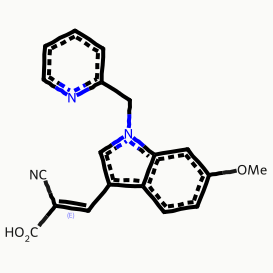 COc1ccc2c(/C=C(\C#N)C(=O)O)cn(Cc3ccccn3)c2c1